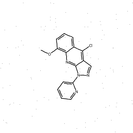 COc1cccc2c(Cl)c3cnn(-c4ccccn4)c3nc12